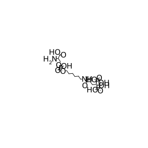 NC(COP(=O)(O)OCCCCCCNC(=O)CCC(P(=O)(O)O)P(=O)(O)O)C(=O)O